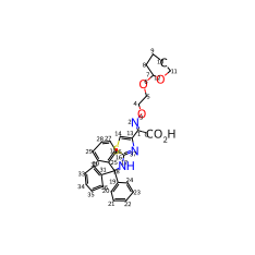 O=C(O)/C(=N\OCCOC1CCCCO1)c1csc(NC(c2ccccc2)(c2ccccc2)c2ccccc2)n1